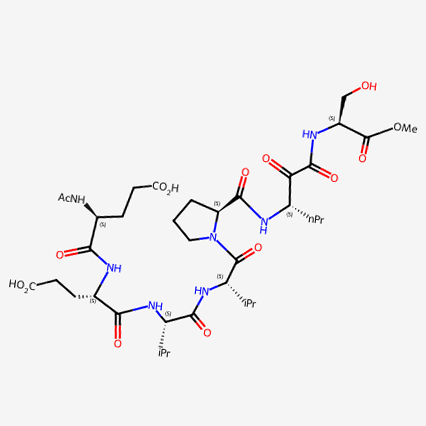 CCC[C@H](NC(=O)[C@@H]1CCCN1C(=O)[C@@H](NC(=O)[C@@H](NC(=O)[C@H](CCC(=O)O)NC(=O)[C@H](CCC(=O)O)NC(C)=O)C(C)C)C(C)C)C(=O)C(=O)N[C@@H](CO)C(=O)OC